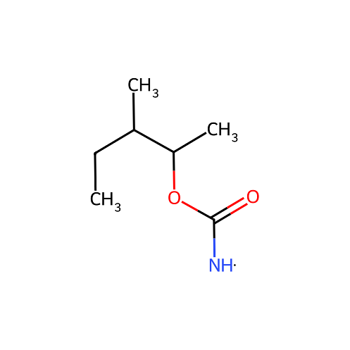 CCC(C)C(C)OC([NH])=O